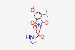 COc1cc(C(C)C)c2c(c1)S(=O)(=O)N(COC(=O)C1CCCN1)C2=O